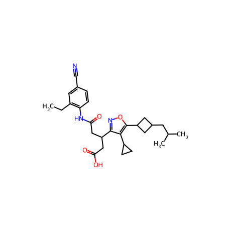 CCc1cc(C#N)ccc1NC(=O)CC(CC(=O)O)c1noc(C2CC(CC(C)C)C2)c1C1CC1